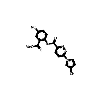 COC(=O)c1cc(C#N)ccc1NC(=O)c1ccc(-n2ccc(C#N)c2)nn1